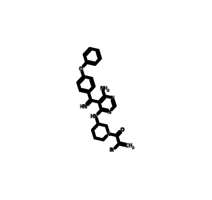 C=C(Br)C(=O)N1CCCC(Nc2ncnc(N)c2C(=N)c2ccc(Oc3ccccc3)cc2)C1